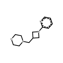 c1ccc(N2CC(CN3CCOCC3)C2)nc1